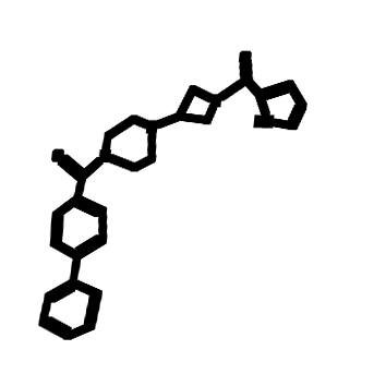 O=C(c1ccc(-c2ccccc2)cc1)N1CCN(C2CN(C(=O)c3ccc[nH]3)C2)CC1